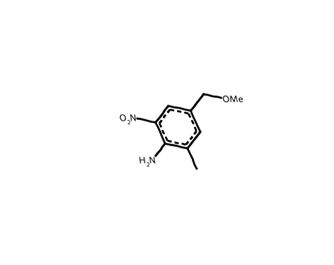 COCc1cc(C)c(N)c([N+](=O)[O-])c1